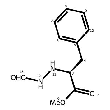 COC(=O)[C@H](Cc1ccccc1)NNC=O